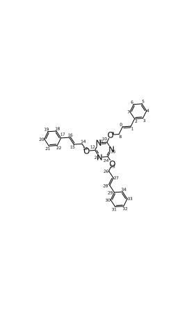 C(=Cc1ccccc1)COc1nc(OCC=Cc2ccccc2)nc(OCC=Cc2ccccc2)n1